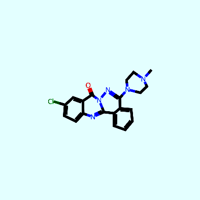 CN1CCN(c2nn3c(=O)c4cc(Cl)ccc4nc3c3ccccc23)CC1